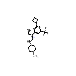 CN1CCC(N/C=C(\C=N)c2cc(C(F)(F)F)nc(N3CCC3)n2)CC1